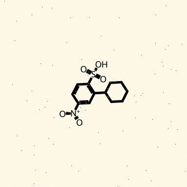 O=[N+]([O-])c1ccc(S(=O)(=O)O)c(C2CCCCC2)c1